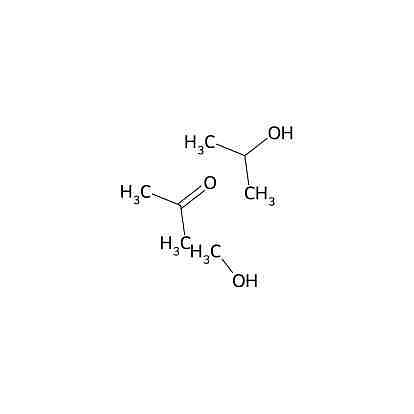 CC(C)=O.CC(C)O.CO